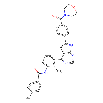 Cc1c(NC(=O)c2ccc(C(C)(C)C)cc2)cccc1-c1ncnc2[nH]c(-c3ccc(C(=O)N4CCOCC4)cc3)cc12